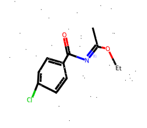 CCO/C(C)=N/C(=O)c1ccc(Cl)cc1